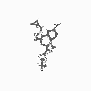 COc1ccc2c(c1)-c1c(cnn1CC1CC1)Cc1c(-c3nc(C(F)(F)F)no3)ncn1-2